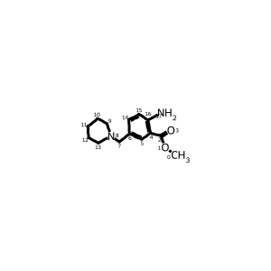 COC(=O)c1cc(CN2CCCCC2)ccc1N